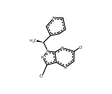 C[C@@H](c1cccnc1)n1nc(Cl)c2ncc(Cl)nc21